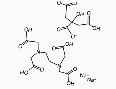 O=C(O)CN(CCN(CC(=O)O)CC(=O)O)CC(=O)O.O=C([O-])CC(O)(CC(=O)O)C(=O)[O-].[Na+].[Na+]